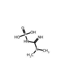 [CH2]N(C)C(=N)NP(=O)(O)O